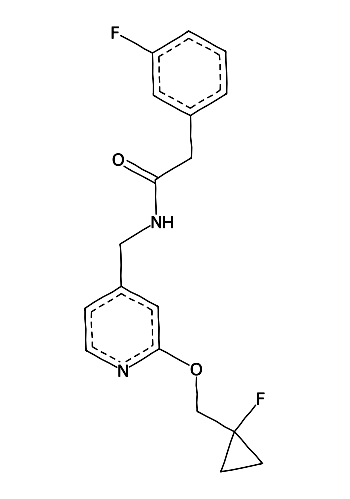 O=C(Cc1cccc(F)c1)NCc1ccnc(OCC2(F)CC2)c1